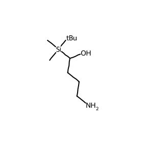 CC(C)(C)[Si](C)(C)C(O)CCCN